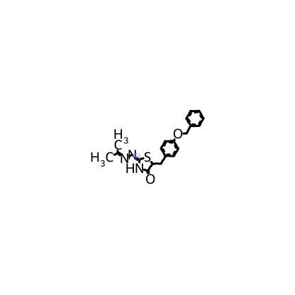 CC(C)=N/N=C1\NC(=O)C(Cc2ccc(OCc3ccccc3)cc2)S1